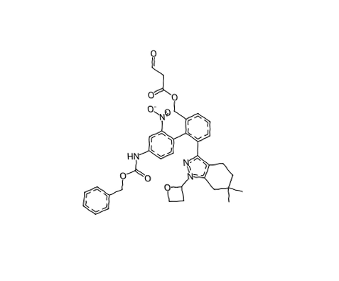 CC1(C)CCc2c(-c3cccc(COC(=O)CC=O)c3-c3ccc(NC(=O)OCc4ccccc4)cc3[N+](=O)[O-])nn(C3CCO3)c2C1